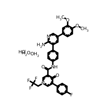 COc1ccc(-c2cnc(N)c(-c3ccc(NC(=O)c4cn(CC(F)(F)F)cc(-c5ccc(F)cc5)c4=O)cc3)c2)cc1OC.Cl.O.O